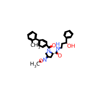 CON=C1C[C@@H](C(=O)NCC[C@@H](O)c2ccccc2)N(C(=O)c2ccc(-c3ccccc3C)cc2)C1